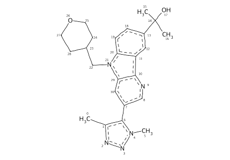 Cc1nnn(C)c1-c1cnc2c3cc(C(C)(C)O)ccc3n(CC3CCOCC3)c2c1